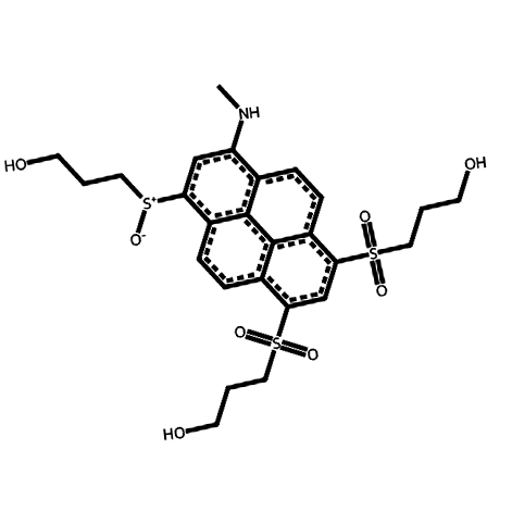 CNc1cc([S+]([O-])CCCO)c2ccc3c(S(=O)(=O)CCCO)cc(S(=O)(=O)CCCO)c4ccc1c2c43